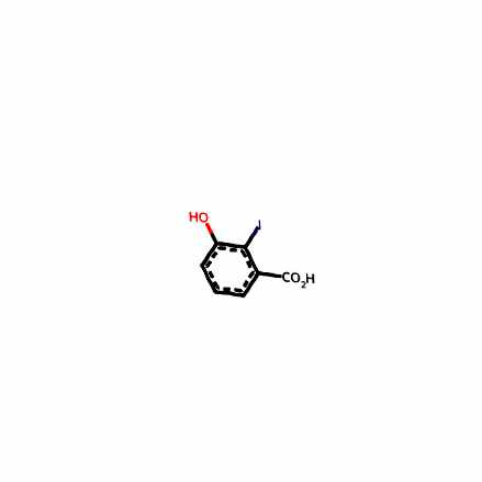 O=C(O)c1cccc(O)c1I